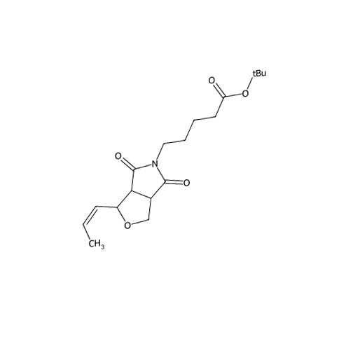 C/C=C\C1OCC2C(=O)N(CCCCC(=O)OC(C)(C)C)C(=O)C12